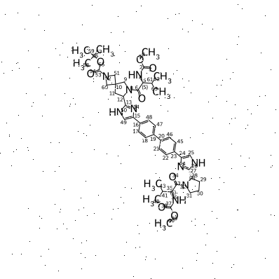 COC(=O)N[C@H](C(=O)N1CC2(CC1c1nc(-c3ccc(-c4ccc(-c5c[nH]c([C@@H]6CCCN6C(=O)[C@@H](NC(=O)OC)C(C)C)n5)cc4)cc3)c[nH]1)CN(C(=O)OC(C)(C)C)C2)C(C)C